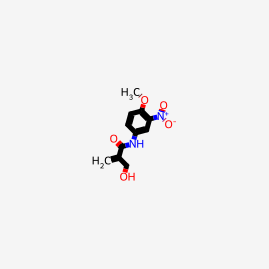 C=C(CO)C(=O)Nc1ccc(OC)c([N+](=O)[O-])c1